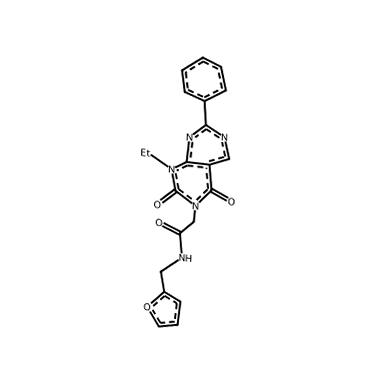 CCn1c(=O)n(CC(=O)NCc2ccco2)c(=O)c2cnc(-c3ccccc3)nc21